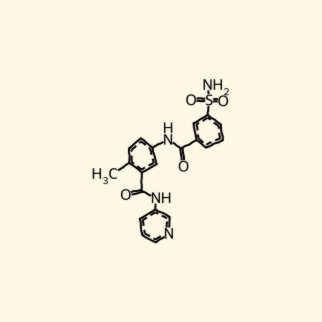 Cc1ccc(NC(=O)c2cccc(S(N)(=O)=O)c2)cc1C(=O)Nc1cccnc1